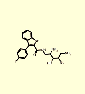 CC[C@H](CN)[C@@H](O)[C@H](N)CNC(=O)c1[nH]c2ccccc2c1-c1ccc(F)cc1